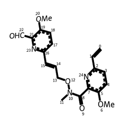 C=Cc1ccc(OC)c(C(=O)N(C)OC/C=C/c2ccc(OC)c(C=O)n2)n1